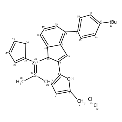 Cc1ccc(C2=Cc3c(-c4ccc(C(C)(C)C)cc4)cccc3[CH]2[Zr+2]([C]2=CC=CC2)=[Si](C)C)o1.[Cl-].[Cl-]